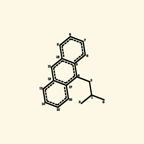 CC(C)Cc1c2ccccc2cc2ccccc12